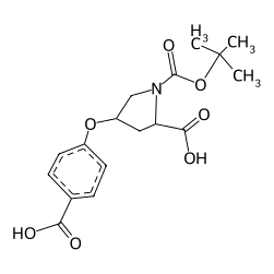 CC(C)(C)OC(=O)N1CC(Oc2ccc(C(=O)O)cc2)CC1C(=O)O